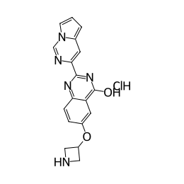 Cl.Oc1nc(-c2cc3cccn3cn2)nc2ccc(OC3CNC3)cc12